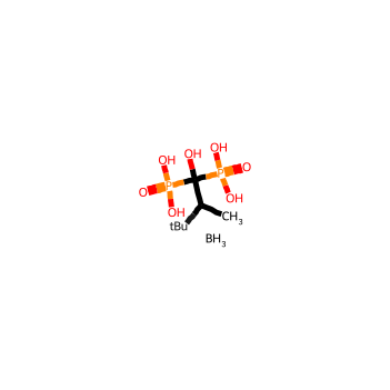 B.CC(C(C)(C)C)C(O)(P(=O)(O)O)P(=O)(O)O